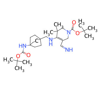 CC(C)(C)OC(=O)NC12CCC(CNC3=C(C=N)CN(C(=O)OC(C)(C)C)CC3(C)C)(CC1)CC2